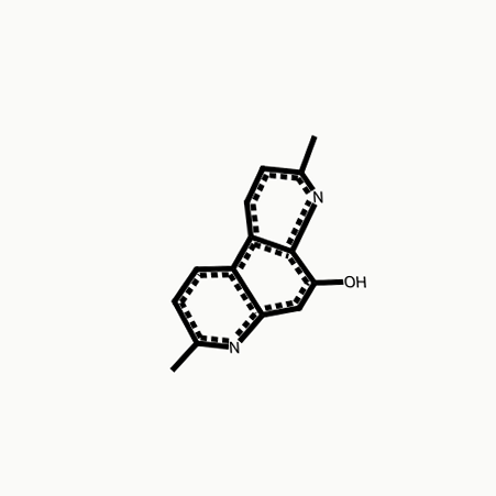 Cc1ccc2c(cc(O)c3nc(C)ccc32)n1